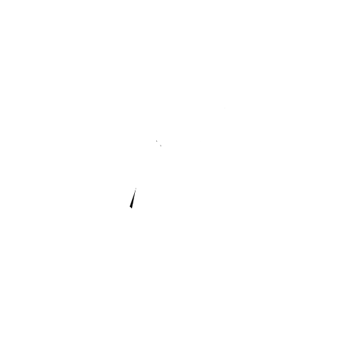 C=C[C@@H]1CN(CCOC)C[C@H]1C